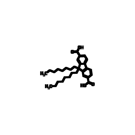 CCCCCCCCC1(CCCCCCCC)c2cc(C(=O)O)ccc2-c2ccc(C(=O)O)cc21